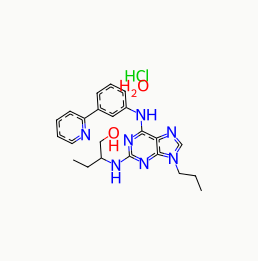 CCCn1cnc2c(Nc3cccc(-c4ccccn4)c3)nc(NC(CC)CO)nc21.Cl.O